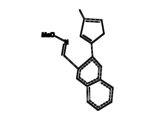 CON=Cc1cc2ccccc2cc1C1=CC(C)=CC1